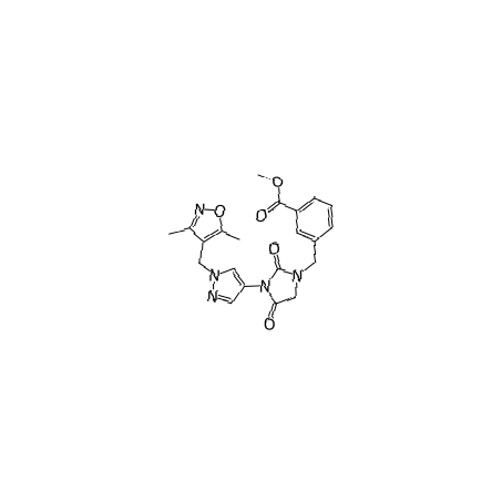 COC(=O)c1cccc(CN2CC(=O)N(c3cnn(Cc4c(C)noc4C)c3)C2=O)c1